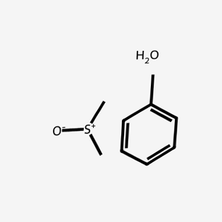 C[S+](C)[O-].Cc1ccccc1.O